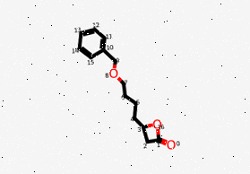 O=C1CC(CCCCOCc2ccccc2)O1